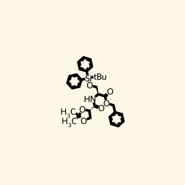 CC1(C)OC[C@@H](C(=O)N[C@@H](CO[Si](c2ccccc2)(c2ccccc2)C(C)(C)C)C(=O)OCc2ccccc2)O1